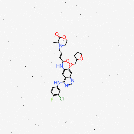 CC1C(=O)OCCN1CC=CC(=O)Nc1cc2c(Nc3ccc(F)c(Cl)c3)ncnc2cc1OCC1CCCO1